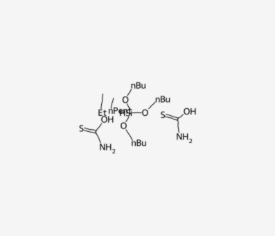 CCC.CCCCCC.CCCCO[SiH](OCCCC)OCCCC.NC(O)=S.NC(O)=S